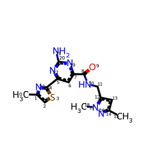 Cc1csc(-c2cc(C(=O)NCc3cc(C)nn3C)nc(N)n2)n1